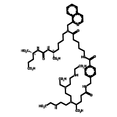 O=C(O)CC[C@@H](NC(=O)N[C@H](CCCCN(Cc1nccc2ccccc12)C(=O)CCCCNC(=O)c1ccc(CNC(=O)CCC(C(=O)O)N(CCNCC(=O)O)CCN(CCNCC(=O)O)CC(=O)O)cc1)C(=O)O)C(=O)O